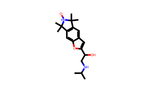 CC(C)NCC(O)c1cc2cc3c(cc2o1)C(C)(C)[NH+]([O-])C3(C)C